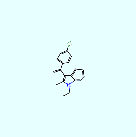 C=C(c1ccc(Cl)cc1)c1c(C)n(CC)c2ccccc12